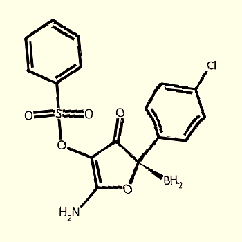 B[C@@]1(c2ccc(Cl)cc2)OC(N)=C(OS(=O)(=O)c2ccccc2)C1=O